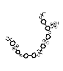 CCC(C)(C)Oc1ccc(-c2ccc(Oc3ccc(S(=O)(=O)c4ccc(C(C)(CC)C(C)(C)Oc5ccc(-c6ccc(Oc7ccc(S(=O)(=O)c8ccc(C(C)(CC)CC)cc8)cc7)cc6)cc5)cc4)cc3)c(CS(=O)(=O)O)c2)cc1